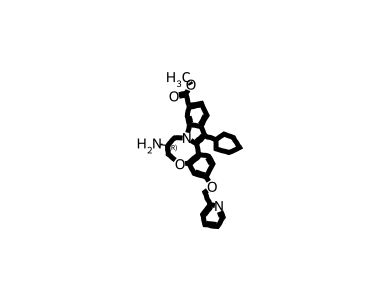 COC(=O)c1ccc2c(C3CCCCC3)c3n(c2c1)C[C@@H](N)COc1cc(OCc2ccccn2)ccc1-3